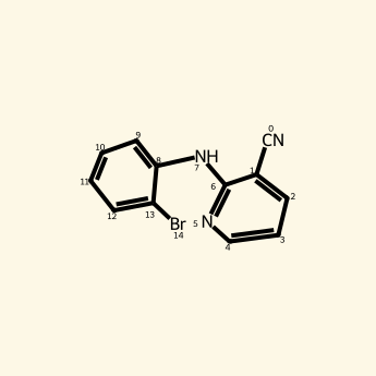 N#Cc1cccnc1Nc1ccccc1Br